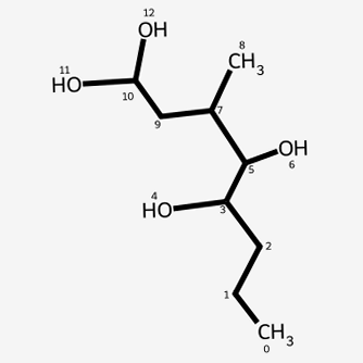 CCCC(O)C(O)C(C)CC(O)O